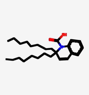 CCCCCCCCC1(CCCCCCCC)C=Cc2ccccc2N1C(=O)O